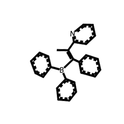 CC(=C(B(c1ccccc1)c1ccccc1)c1ccccc1)c1ccccn1